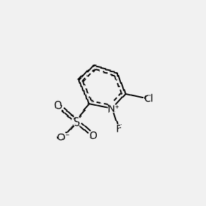 O=S(=O)([O-])c1cccc(Cl)[n+]1F